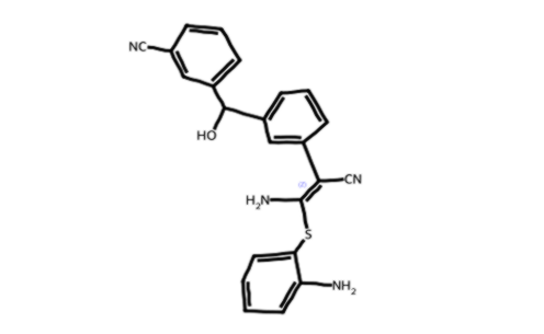 N#C/C(=C(/N)Sc1ccccc1N)c1cccc(C(O)c2cccc(C#N)c2)c1